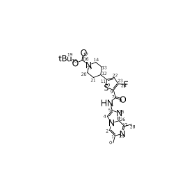 Cc1cn2cc(NC(=O)c3sc(C4CCN(C(=O)OC(C)(C)C)CC4)cc3F)nc2c(C)n1